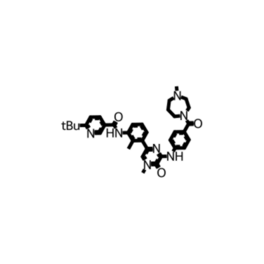 Cc1c(NC(=O)c2ccc(C(C)(C)C)nc2)cccc1-c1cn(C)c(=O)c(Nc2ccc(C(=O)N3CCCN(C)CC3)cc2)n1